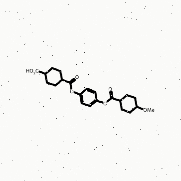 COC1CCC(C(=O)Oc2ccc(OC(=O)C3CCC(C(=O)O)CC3)cc2)CC1